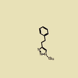 CC(C)(C)n1cc(CCc2ccccc2)nn1